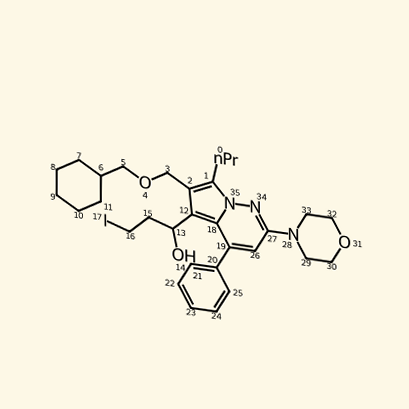 CCCc1c(COCC2CCCCC2)c(C(O)CCI)c2c(-c3ccccc3)cc(N3CCOCC3)nn12